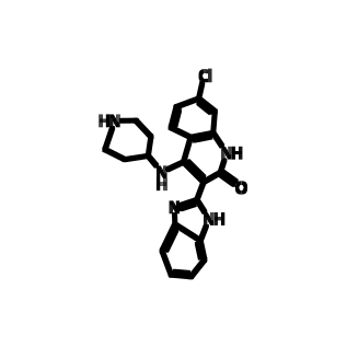 O=c1[nH]c2cc(Cl)ccc2c(NC2CCNCC2)c1-c1nc2ccccc2[nH]1